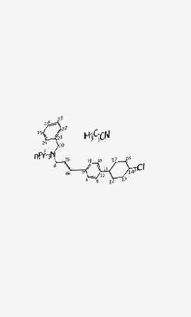 CC#N.CCCN(CCCc1ccc(C2CCC(Cl)CC2)cc1)Cc1ccccc1